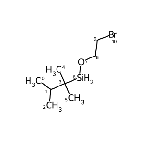 CC(C)C(C)(C)[SiH2]OCCBr